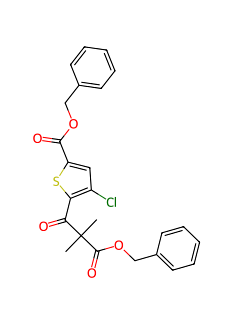 CC(C)(C(=O)OCc1ccccc1)C(=O)c1sc(C(=O)OCc2ccccc2)cc1Cl